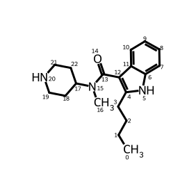 CCCCc1[nH]c2ccccc2c1C(=O)N(C)C1CCNCC1